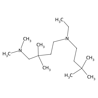 CCN(CCC(C)(C)C)CCC(C)(C)CN(C)C